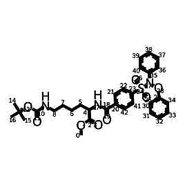 COC(=O)C(CCCCNC(=O)OC(C)(C)C)NC(=O)c1ccc(S(=O)(=O)N(Oc2ccccc2)c2ccccc2)cc1